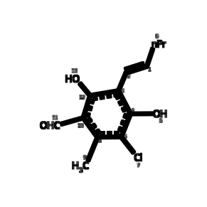 CCC/C=C/c1c(O)c(Cl)c(C)c(C=O)c1O